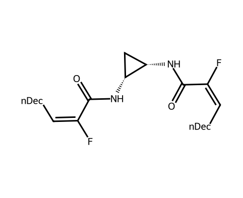 CCCCCCCCCC/C=C(/F)C(=O)N[C@H]1C[C@H]1NC(=O)/C(F)=C\CCCCCCCCCC